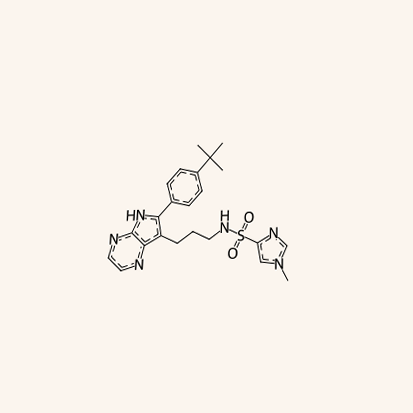 Cn1cnc(S(=O)(=O)NCCCc2c(-c3ccc(C(C)(C)C)cc3)[nH]c3nccnc23)c1